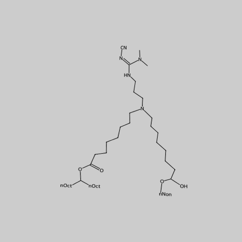 CCCCCCCCCOC(O)CCCCCCCN(CCCCCCCC(=O)OC(CCCCCCCC)CCCCCCCC)CCCN/C(=N/C#N)N(C)C